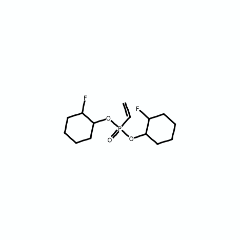 C=CP(=O)(OC1CCCCC1F)OC1CCCCC1F